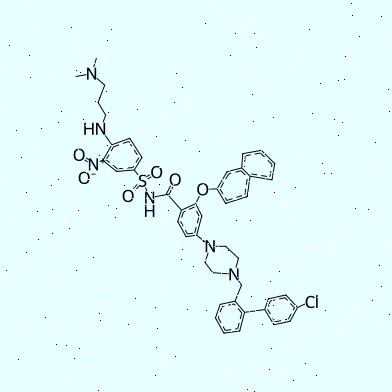 CN(C)CCCNc1ccc(S(=O)(=O)NC(=O)c2ccc(N3CCN(Cc4ccccc4-c4ccc(Cl)cc4)CC3)cc2Oc2ccc3ccccc3c2)cc1[N+](=O)[O-]